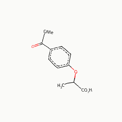 COC(=O)c1ccc(OC(C)C(=O)O)cc1